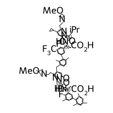 COC1CN(CCc2nn([C@@H](CC(C)C)C(=O)N[C@@H](CC(=O)O)c3cc(-c4c(C)cc(C)cc4C)cc(C)c3F)c(=O)cc2Cc2ccc(C)c(-c3cc([C@H](CC(=O)O)NC(=O)[C@H](CC(C)C)n4nc(CCN5CC(OC)C5)c(C5CC5)cc4=O)c(F)c(C(F)(F)F)c3)c2C)C1